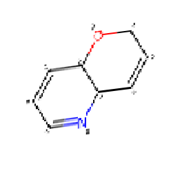 C1=CC2OCC=CC2N=C1